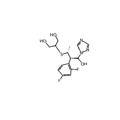 C[C@@H](SC(CO)CO)[C@H](c1ccc(F)cc1F)C(O)n1cncn1